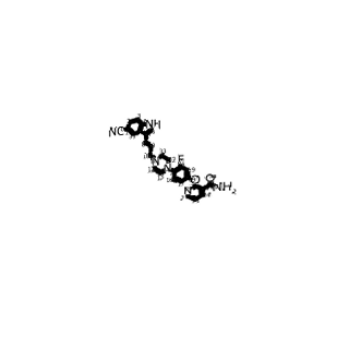 N#Cc1ccc2[nH]cc(CCCN3CCN(c4ccc(Oc5ncccc5C(N)=O)cc4F)CC3)c2c1